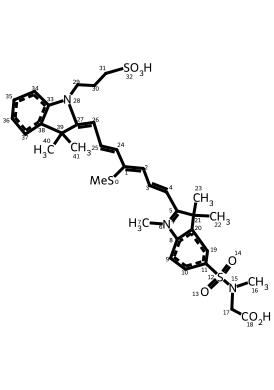 CSC(=C\C=C\C1=[N+](C)c2ccc(S(=O)(=O)N(C)CC(=O)O)cc2C1(C)C)/C=C/C=C1/N(CCCS(=O)(=O)O)c2ccccc2C1(C)C